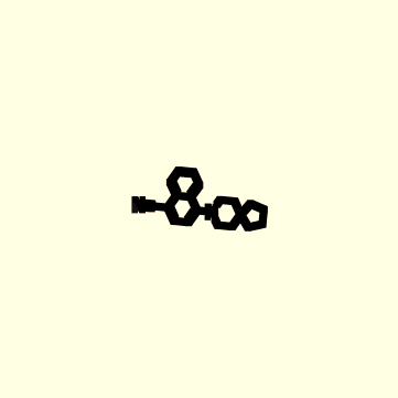 N#Cc1ccc(N2CCC3(CCCC3)CC2)c2ccccc12